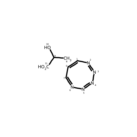 C1=C\N=N/N=N\N=C/1.CC(O)C(=O)O